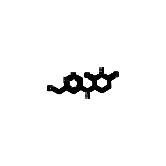 O=C1CCC(Nc2cnnc(CCl)c2)C(=O)N1